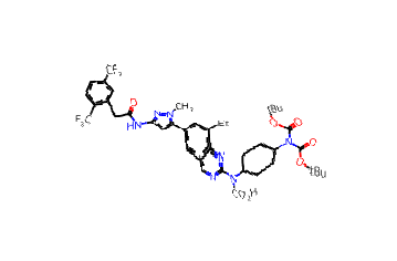 CCc1cc(-c2cc(NC(=O)Cc3cc(C(F)(F)F)ccc3C(F)(F)F)nn2C)cc2cnc(N(C(=O)O)C3CCC(N(C(=O)OC(C)(C)C)C(=O)OC(C)(C)C)CC3)nc12